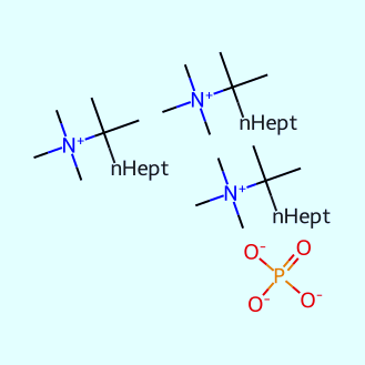 CCCCCCCC(C)(C)[N+](C)(C)C.CCCCCCCC(C)(C)[N+](C)(C)C.CCCCCCCC(C)(C)[N+](C)(C)C.O=P([O-])([O-])[O-]